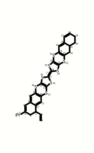 C=CC1CC(C(C)C)=Cc2cc3c(cc21)SC1=C(S/C(=C2\SC4=C(SC5=C(C=C6C=CCCC6C5)S4)S2)S1)S3